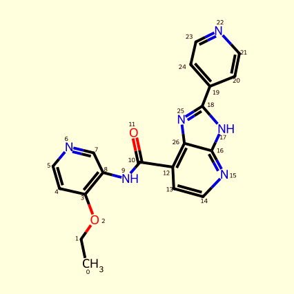 CCOc1ccncc1NC(=O)c1ccnc2[nH]c(-c3ccncc3)nc12